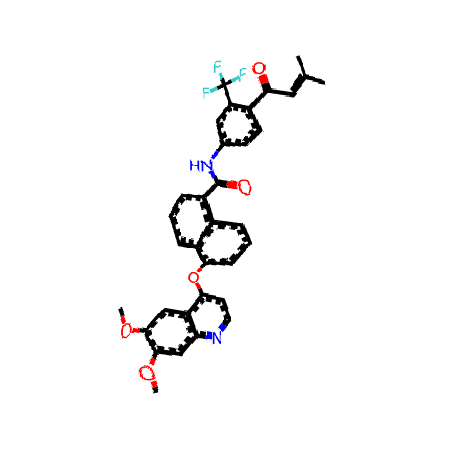 COc1cc2nccc(Oc3cccc4c(C(=O)Nc5ccc(C(=O)C=C(C)C)c(C(F)(F)F)c5)cccc34)c2cc1OC